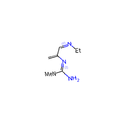 C=C(/C=N\CC)/N=C(/N)NC